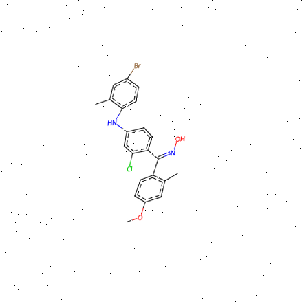 COc1ccc(C(=NO)c2ccc(Nc3ccc(Br)cc3C)cc2Cl)c(C)c1